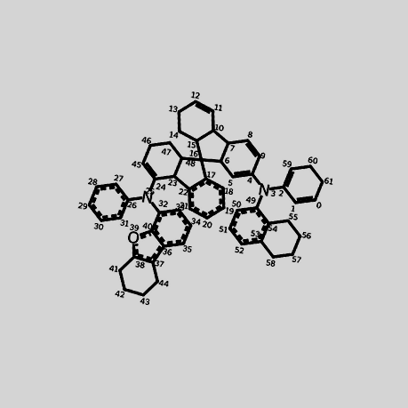 C1=CC(N(C2=CC3C(C=C2)C2C=CCCC2C32c3ccccc3C3C(N(c4ccccc4)c4cccc5c6c(oc45)CCCC6)=CCCC32)c2cccc3c2CCCC3)=CCC1